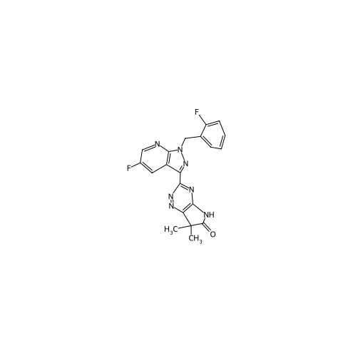 CC1(C)C(=O)Nc2nc(-c3nn(Cc4ccccc4F)c4ncc(F)cc34)nnc21